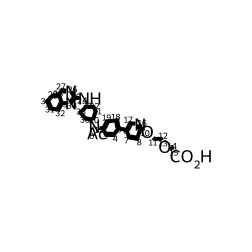 CC(=O)N(c1ccc(-c2ccc(OCCOCC(=O)O)nc2)cc1)C1CCC(Nc2ncc3ccccc3n2)CC1